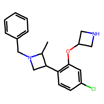 CC1C(c2ccc(Cl)cc2OC2CNC2)CN1Cc1ccccc1